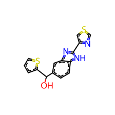 OC(c1ccc2[nH]c(-c3cscn3)nc2c1)c1cccs1